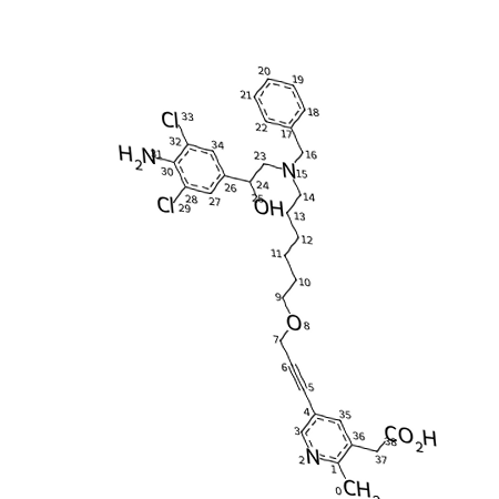 Cc1ncc(C#CCOCCCCCCN(Cc2ccccc2)CC(O)c2cc(Cl)c(N)c(Cl)c2)cc1CC(=O)O